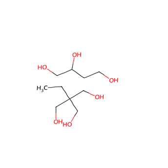 CCC(CO)(CO)CO.OCCC(O)CO